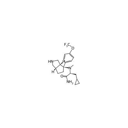 CN([C@@H](CC1CC1)C(N)=O)[C@@]1(c2ccc(OC(F)(F)F)cc2)CC[C@@H]2CNC[C@@H]21